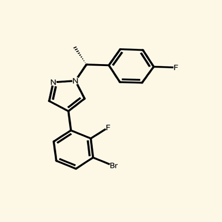 C[C@H](c1ccc(F)cc1)n1cc(-c2cccc(Br)c2F)cn1